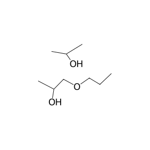 CC(C)O.CCCOCC(C)O